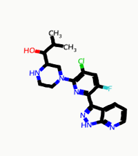 CC(C)C(O)C1CN(c2nc(-c3n[nH]c4ncccc34)c(F)cc2Cl)CCN1